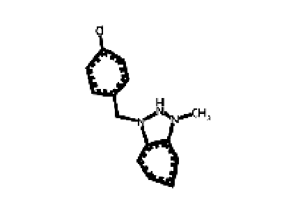 CN1NN(Cc2ccc(Cl)cc2)c2ccccc21